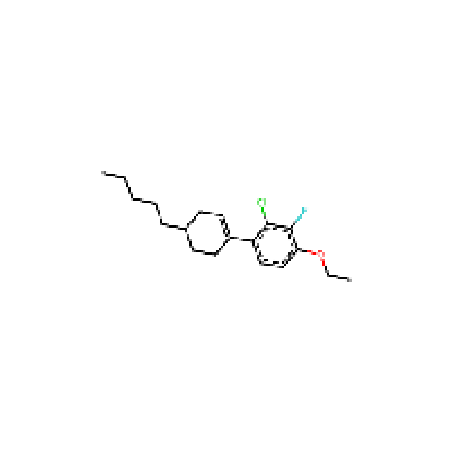 CCCCCC1CC=C(c2ccc(OCC)c(F)c2Cl)CC1